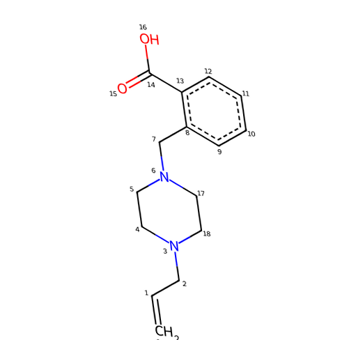 C=CCN1CCN(Cc2ccccc2C(=O)O)CC1